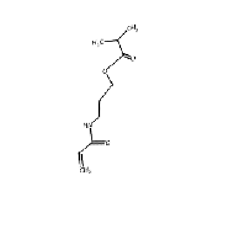 C=CC(=O)NCCCOC(=O)C(C)C